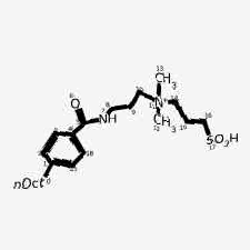 CCCCCCCCc1ccc(C(=O)NCCC[N+](C)(C)CCCS(=O)(=O)O)cc1